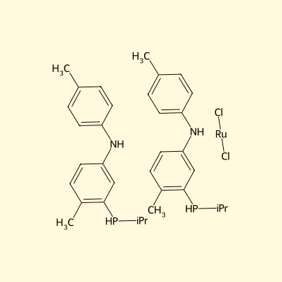 Cc1ccc(Nc2ccc(C)c(PC(C)C)c2)cc1.Cc1ccc(Nc2ccc(C)c(PC(C)C)c2)cc1.[Cl][Ru][Cl]